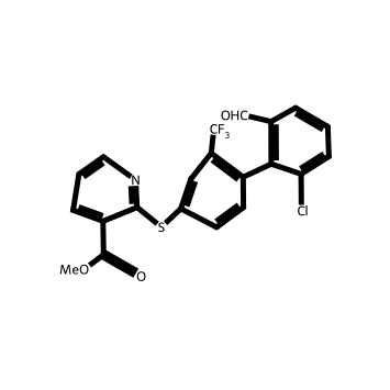 COC(=O)c1cccnc1Sc1ccc(-c2c(Cl)cccc2C=O)c(C(F)(F)F)c1